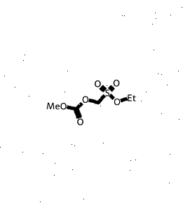 CCOS(=O)(=O)COC(=O)OC